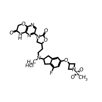 CN(CCC1CN(c2cnc3c(n2)NC(=O)CO3)C(=O)O1)C1Cc2cc(OC3CN(S(C)(=O)=O)C3)cc(F)c2C1.Cl